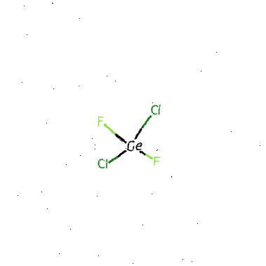 [F][Ge]([F])([Cl])[Cl]